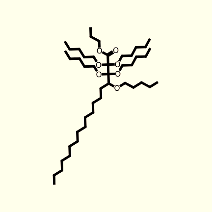 CCCCCCCCCCCCCCC(OCCCCC)C(OCCCCC)(OCCCCC)C(OCCCCC)(OCCCCC)C(=O)OCCC